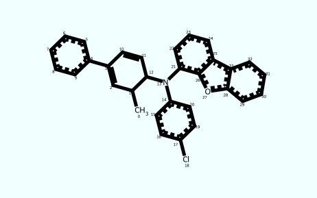 CC1C=C(c2ccccc2)C=CC1N(c1ccc(Cl)cc1)c1cccc2c1oc1ccccc12